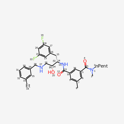 CCCCCN(C)C(=O)c1cc(C)cc(C(=O)N[C@@H](Cc2cc(F)cc(F)c2)[C@H](O)CNCc2cccc(CC)c2)c1